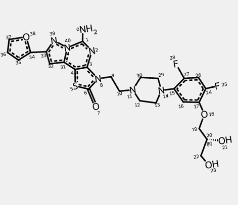 Nc1nc2c(sc(=O)n2CCN2CCN(c3cc(OC[C@H](O)CO)c(F)cc3F)CC2)c2cc(-c3ccco3)nn12